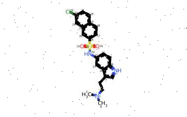 CN(C)CCc1c[nH]c2ccc(NS(=O)(=O)c3ccc4ccc(Cl)cc4c3)cc12